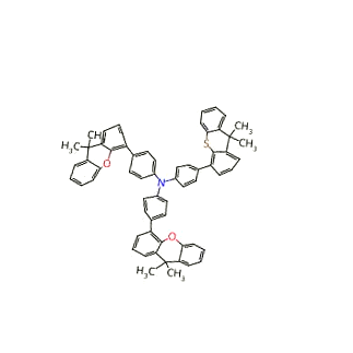 CC1(C)c2ccccc2Oc2c(-c3ccc(N(c4ccc(-c5cccc6c5Oc5ccccc5C6(C)C)cc4)c4ccc(-c5cccc6c5Sc5ccccc5C6(C)C)cc4)cc3)cccc21